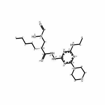 CCCCC[C@H](CN(O)C=O)C(=O)NNc1nc(NCC)nc(N2CCOCC2)n1